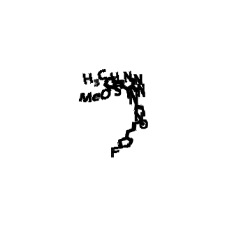 COc1cc(C)cc2cc(-c3cn(C4CCN(C(=O)/C=C/CC5CCC(F)C5)C4)c4ncnc(N)c34)sc12